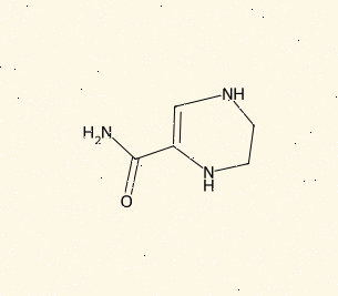 NC(=O)C1=CNCCN1